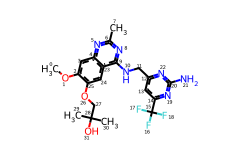 COc1cc2nc(C)nc(NCc3cc(C(F)(F)F)nc(N)n3)c2cc1OCC(C)(C)O